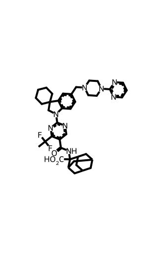 CC(F)(F)c1nc(N2CC3(CCCCC3)c3cc(CN4CCN(c5ncccn5)CC4)ccc32)ncc1C(=O)NC1(C(=O)O)C2CC3CC(C2)CC1C3